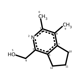 Cc1nc(CO)c2c(c1C)CCC2